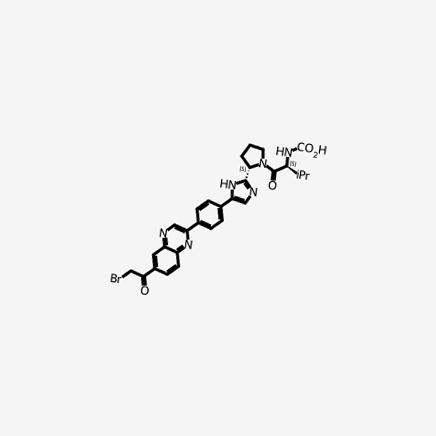 CC(C)[C@H](NC(=O)O)C(=O)N1CCC[C@H]1c1ncc(-c2ccc(-c3cnc4cc(C(=O)CBr)ccc4n3)cc2)[nH]1